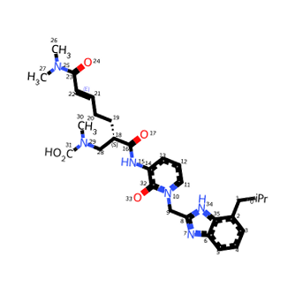 CC(C)Cc1cccc2nc(Cn3cccc(NC(=O)[C@@H](CC/C=C/C(=O)N(C)C)CN(C)C(=O)O)c3=O)[nH]c12